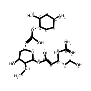 CNC1C(O)C[C@H](/C=C(\O)O[C@H]2CC[C@H](N)CC2N)OC1O/C(O)=C/[C@@H](CCO)NC(=N)N